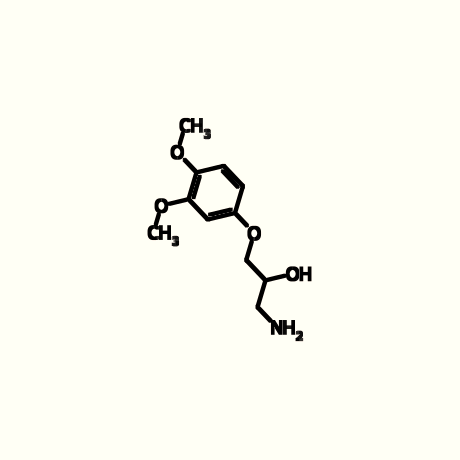 COc1ccc(OCC(O)CN)cc1OC